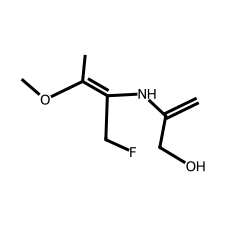 C=C(CO)N/C(CF)=C(\C)OC